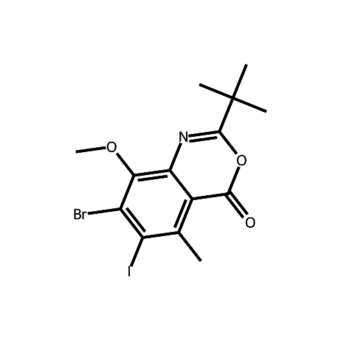 COc1c(Br)c(I)c(C)c2c(=O)oc(C(C)(C)C)nc12